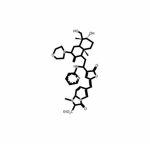 C=C1C(N2CCOCC2)CC2[C@](C)(CC[C@@H](O)[C@@]2(C)CO)C1CC(Nc1ccccn1)C1=C/C(=C\C2=CN3C(=O)C(C(=O)OCC)N(C)C3C=C2)OC1=O